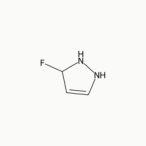 FC1C=CNN1